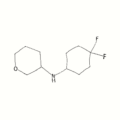 FC1(F)CCC(NC2CCCOC2)CC1